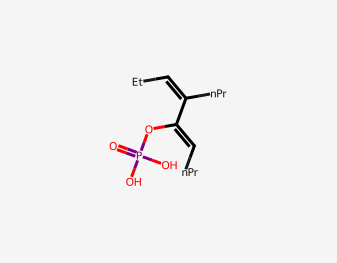 CCC=C(CCC)C(=CCCC)OP(=O)(O)O